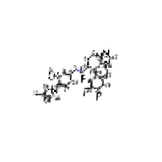 COc1cc(/C=C(\F)C2CCn3ncnc3C2c2cc(F)c(F)cc2F)ccc1-n1cnc(C)c1